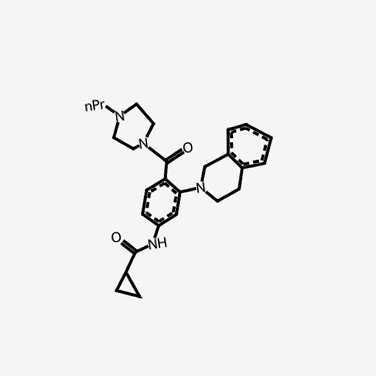 CCCN1CCN(C(=O)c2ccc(NC(=O)C3CC3)cc2N2CCc3ccccc3C2)CC1